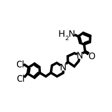 Nc1cccc(C(=O)N2CCC(N3CCC(Cc4ccc(Cl)c(Cl)c4)CC3)CC2)c1